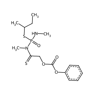 CCC(C)SP(=O)(NC)N(C)C(=S)COC(=O)Oc1ccccc1